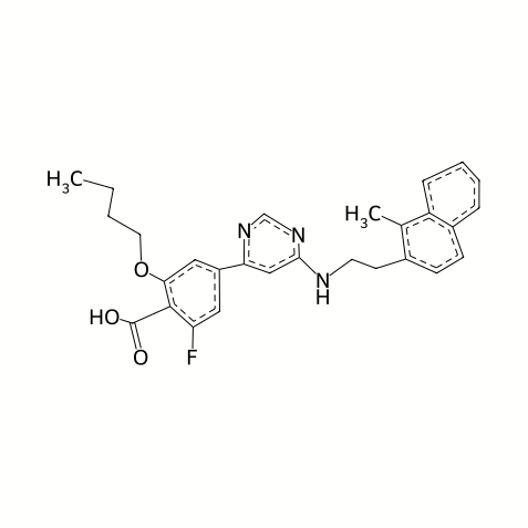 CCCCOc1cc(-c2cc(NCCc3ccc4ccccc4c3C)ncn2)cc(F)c1C(=O)O